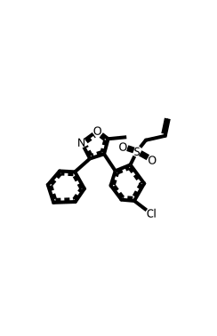 C=CCS(=O)(=O)c1cc(Cl)ccc1-c1c(-c2ccccc2)noc1C